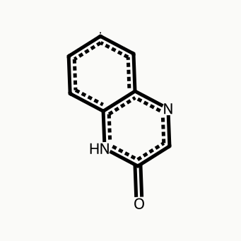 O=c1cnc2c[c]ccc2[nH]1